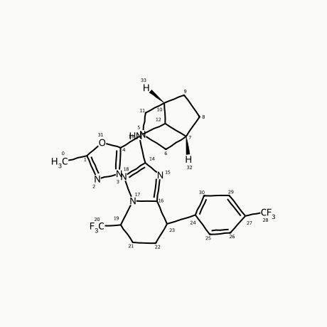 Cc1nnc(N2C[C@H]3CC[C@@H](C2)C3Nc2nc3n(n2)C(C(F)(F)F)CCC3c2ccc(C(F)(F)F)cc2)o1